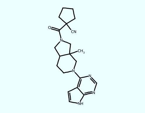 CC12CN(C(=O)C3(C#N)CCCC3)CC1CCN(c1ncnc3[nH]ccc13)C2